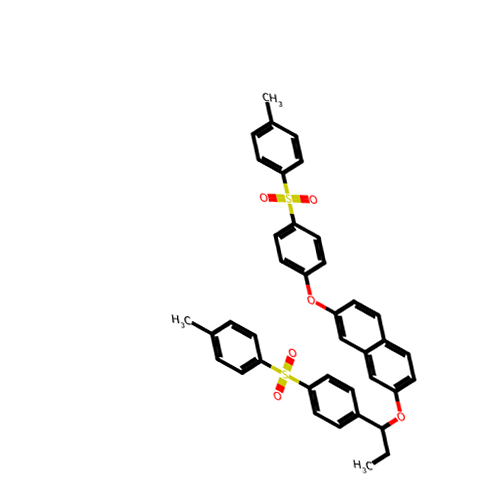 CCC(Oc1ccc2ccc(Oc3ccc(S(=O)(=O)c4ccc(C)cc4)cc3)cc2c1)c1ccc(S(=O)(=O)c2ccc(C)cc2)cc1